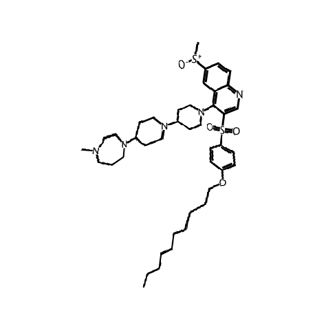 CCCCCCCCCCOc1ccc(S(=O)(=O)c2cnc3ccc([S+](C)[O-])cc3c2N2CCC(N3CCC(N4CCCN(C)CC4)CC3)CC2)cc1